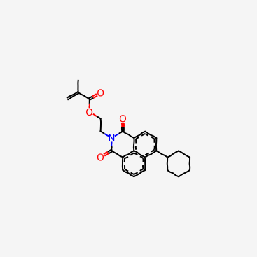 C=C(C)C(=O)OCCN1C(=O)c2cccc3c(C4CCCCC4)ccc(c23)C1=O